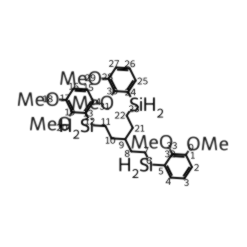 COc1cccc([SiH2]CCC(CC[SiH2]c2cccc(OC)c2OC)CC[SiH2]c2cccc(OC)c2OC)c1OC